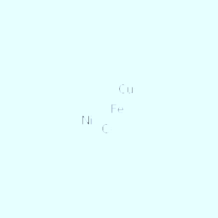 [C].[Cu].[Fe].[Ni]